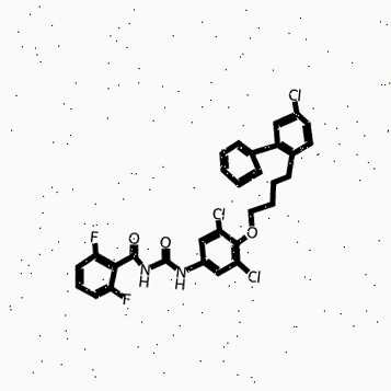 O=C(NC(=O)c1c(F)cccc1F)Nc1cc(Cl)c(OCCCCc2ccc(Cl)cc2-c2ccccc2)c(Cl)c1